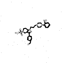 CS(=O)(=O)N1CCc2c(c(-c3ccc(CF)cc3)nn2CCCN2CCN(c3ccccc3N=O)CC2)C1